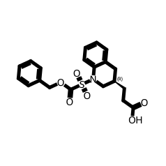 O=C(O)CC[C@@H]1Cc2ccccc2N(S(=O)(=O)C(=O)OCc2ccccc2)C1